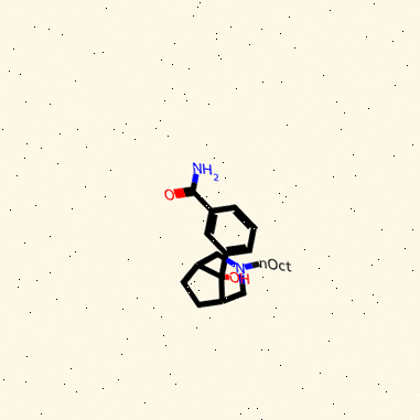 CCCCCCCCN1CC2CCC(C1)C2(O)c1cccc(C(N)=O)c1